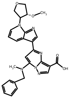 CO[C@H]1COCC1n1cccc2c(-c3cc(N(C)Cc4ccccc4)n4ncc(C(=O)O)c4n3)cnc1-2